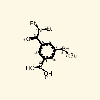 CCN(CC)C(=O)c1cc(BC(C)(C)C)cc(B(O)O)c1